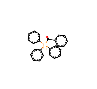 O=C(c1ccccc1)[PH](c1ccccc1)(c1ccccc1)c1ccccc1